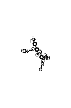 COCCOCOc1ccc(N2CCc3cc(-c4ccc(C(F)(F)F)cc4)c(OCCCN4CCOCC4)cc3C2=O)cc1NS(C)(=O)=O